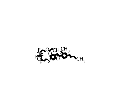 C=CC(=O)OCCC(F)(F)OC(F)(F)OC(F)(F)CCSc1ccc2cc(-c3ccc(CCCCC)cc3CC)oc2c1